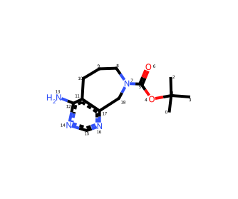 CC(C)(C)OC(=O)N1CCCc2c(N)ncnc2C1